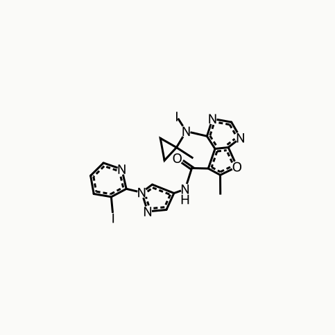 Cc1oc2ncnc(N(I)C3(C)CC3)c2c1C(=O)Nc1cnn(-c2ncccc2I)c1